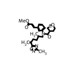 C=C(CCC(=C)c1nc(C)no1)CN(C(=O)C1CCOCC1)c1cccc(/C=C/C(=O)OC)c1